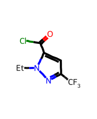 CCn1nc(C(F)(F)F)cc1C(=O)Cl